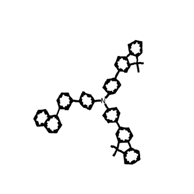 CC1(C)c2ccccc2-c2ccc(-c3ccc(N(c4ccc(-c5cccc(-c6cccc7ccccc67)c5)cc4)c4ccc(-c5ccc6c(c5)C(C)(C)c5ccccc5-6)cc4)cc3)cc21